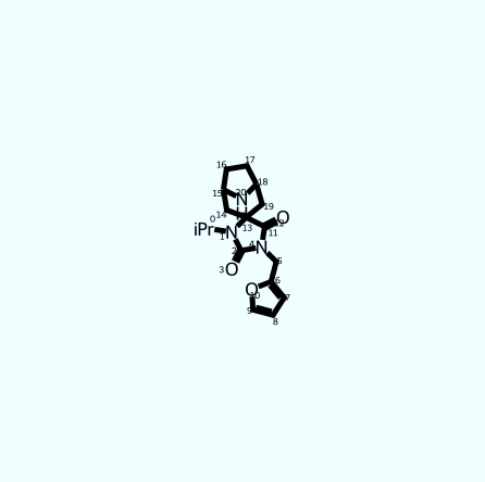 CC(C)N1C(=O)N(Cc2ccco2)C(=O)C12CC1CCC(C2)N1